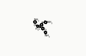 CC(c1ccc(Oc2ccc(N)cc2)cc1)(c1ccc(Oc2ccc(N)cc2)cc1)c1ccc(Oc2ccc(N)cc2)cc1